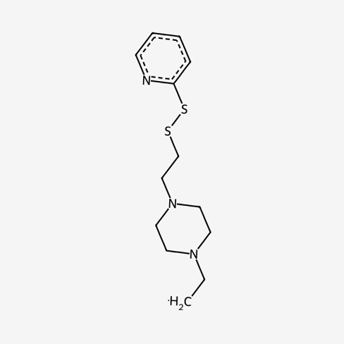 [CH2]CN1CCN(CCSSc2ccccn2)CC1